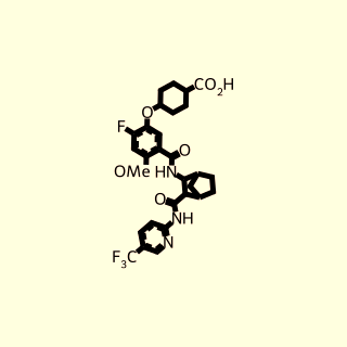 COc1cc(F)c(OC2CCC(C(=O)O)CC2)cc1C(=O)NC1C2CCC(C2)C1C(=O)Nc1ccc(C(F)(F)F)cn1